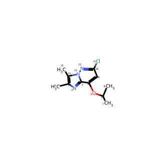 Cc1nc2c(OC(C)C)cc(Cl)nn2c1C